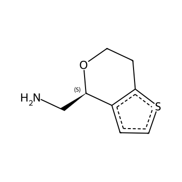 NC[C@H]1OCCc2sccc21